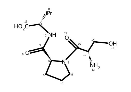 CC(C)[C@H](NC(=O)[C@@H]1CCCN1C(=O)[C@@H](N)CO)C(=O)O